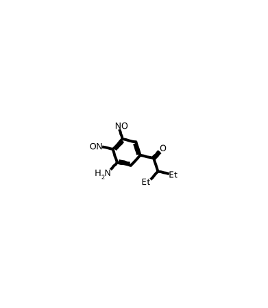 CCC(CC)C(=O)c1cc(N)c(N=O)c(N=O)c1